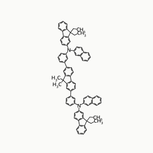 CCC1(CC)c2ccccc2-c2ccc(N(c3cccc(-c4ccc5c(c4)C(C)(C)c4cc(-c6cccc(N(c7ccc8c(c7)C(CC)(CC)c7ccccc7-8)c7ccc8ccccc8c7)c6)ccc4-5)c3)c3ccc4ccccc4c3)cc21